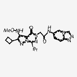 CONc1c(C2CCC2)nn2c(C(C)C)nn(CC(=O)Nc3ccc4nncn4c3)c(=O)c12